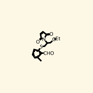 CCOCC(CSc1cccc(C)c1C=O)N1C(=O)C=CC1=O